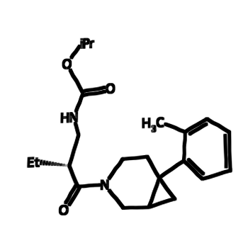 CC[C@H](CNC(=O)OC(C)C)C(=O)N1CCC2(c3ccccc3C)CC2C1